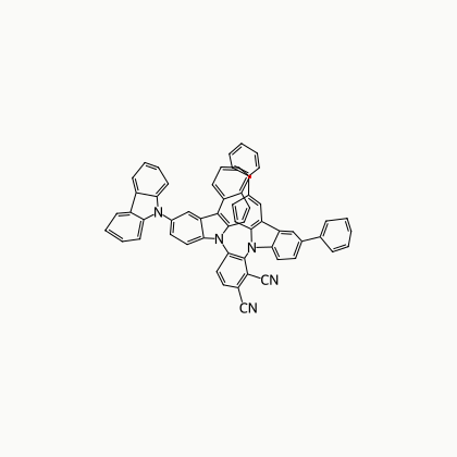 N#Cc1ccc(-n2c3ccc(-n4c5ccccc5c5ccccc54)cc3c3c4ccccc4ccc32)c(-n2c3ccc(-c4ccccc4)cc3c3cc(-c4ccccc4)ccc32)c1C#N